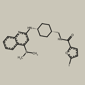 CN(C)c1cc(N[C@H]2CC[C@@H](CNC(=O)c3ccc(I)o3)CC2)nc2ccccc12